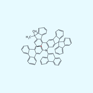 CC1(C)c2ccccc2-c2c(-c3cc4c(cc3N(c3ccc5c6ccccc6c6ccccc6c5c3)c3cc5ccccc5c5ccccc35)C3(c5ccccc5-c5ccccc53)c3ccccc3-4)cccc21